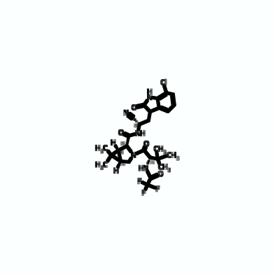 CC(C)(C)[C@H](NC(=O)C(F)(F)F)C(=O)N1C[C@H]2[C@@H]([C@H]1C(=O)N[C@H](C#N)CC1C(=O)Nc3c(Cl)cccc31)C2(C)C